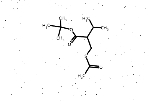 CC(=O)SCC(C(=O)OC(C)(C)C)C(C)C